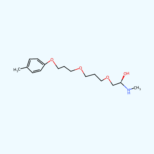 CN[C@H](O)COCCCOCCCOc1ccc(C)cc1